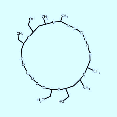 CCC1CCOCOCCC(CC)CC(CO)CC(C)CC(C)CCOCOCCC(C)CC(C)CC(CO)C1